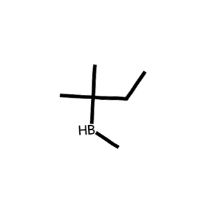 CBC(C)(C)CC